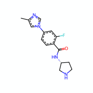 Cc1cn(-c2ccc(C(=O)N[C@@H]3CCNC3)c(F)c2)cn1